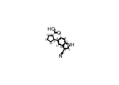 N#Cc1c[nH]c2ccc(C3CCC[C@@H]3C(=O)O)cc12